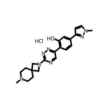 CN1CCC2(CC1)CN(c1ncc(-c3ccc(-c4ccn(C)n4)cc3O)nn1)C2.Cl